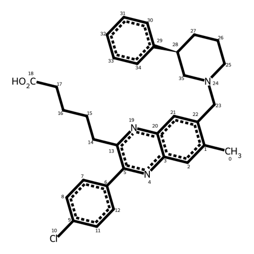 Cc1cc2nc(-c3ccc(Cl)cc3)c(CCCCC(=O)O)nc2cc1CN1CCC[C@H](c2ccccc2)C1